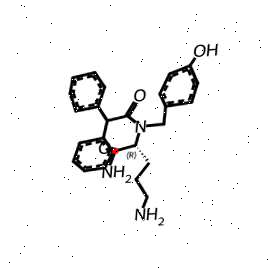 NCCC[C@H](C(N)=O)N(Cc1ccc(O)cc1)C(=O)C(c1ccccc1)c1ccccc1